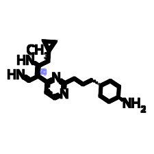 CN/C(CC1CC1)=C(\C=N)c1ccnc(CCC[C@H]2CC[C@H](N)CC2)n1